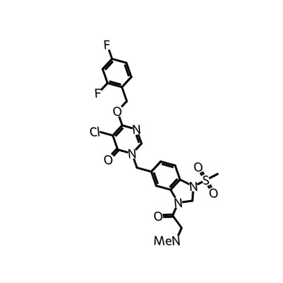 CNCC(=O)N1CN(S(C)(=O)=O)c2ccc(Cn3cnc(OCc4ccc(F)cc4F)c(Cl)c3=O)cc21